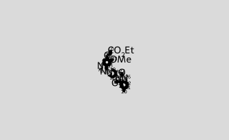 CCOC(=O)COc1cc2ncnc(N3CCC(n4c(=O)c5cc(C)ccc5n(C)c4=O)CC3)c2cc1OC